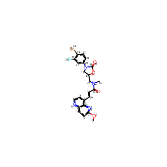 COc1ccc2nccc(C=CC(=O)N(C)CC3CN(c4ccc(Br)c(F)c4)C(=O)O3)c2n1